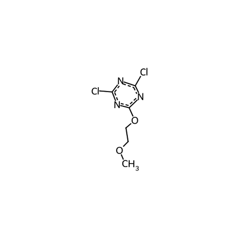 COCCOc1nc(Cl)nc(Cl)n1